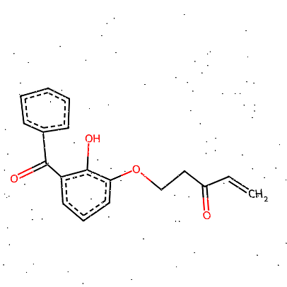 C=CC(=O)CCOc1cccc(C(=O)c2ccccc2)c1O